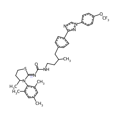 Cc1cc(C)c(N2/C(=N/C(=O)NCCC(C)Cc3ccc(-c4ncn(-c5ccc(OC(F)(F)F)cc5)n4)cc3)SCCC2C)c(C)c1